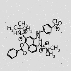 CN(C)S(=O)(=O)Nc1cccc2c(OC(=O)c3ccccc3)c(S(=O)(=O)NC(C)(C)C)cc(N=Nc3ccc(S(=O)(=O)Cl)cc3)c12